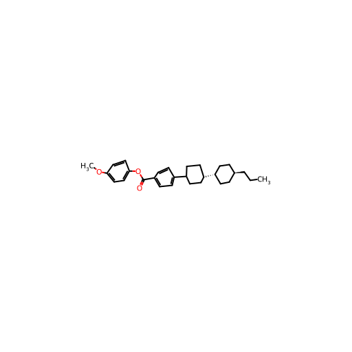 CCC[C@H]1CC[C@H](C2CCC(c3ccc(C(=O)Oc4ccc(OC)cc4)cc3)CC2)CC1